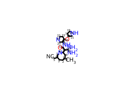 C[C@H]1CCC(CC#N)/C=N\C(C(C(=O)NC2=C(O[C@@H]3CCNC3)CC=NC2)C(N)N)C1